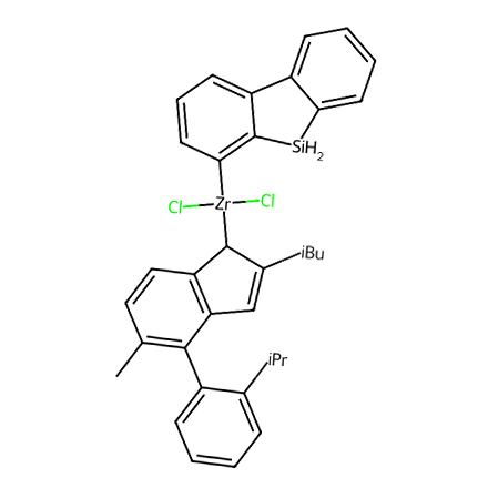 CCC(C)C1=Cc2c(ccc(C)c2-c2ccccc2C(C)C)[CH]1[Zr]([Cl])([Cl])[c]1cccc2c1[SiH2]c1ccccc1-2